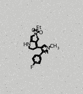 CCS(=O)(=O)N1C=C2NCCC(c3cn(C)nc3-c3ccc(F)cc3)=C2C1